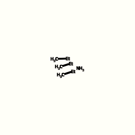 CCC.CCC.CCC.N